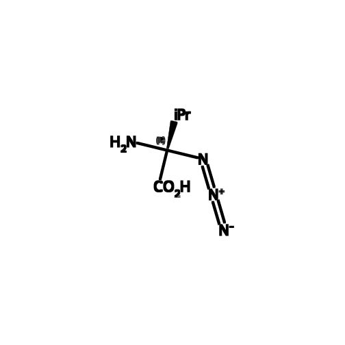 CC(C)[C@@](N)(N=[N+]=[N-])C(=O)O